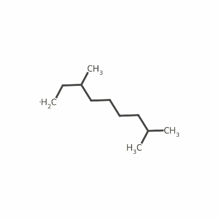 [CH2]CC(C)CCCCC(C)C